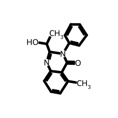 Cc1cccc2nc(C(C)O)n(-c3ccccc3)c(=O)c12